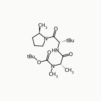 C[C@@H]1CCCN1C(=O)[C@@H](NC(=O)[C@H](C)N(C)C(=O)OC(C)(C)C)C(C)(C)C